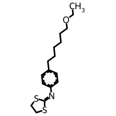 CCOCCCCCCc1ccc(N=C2SCCS2)cc1